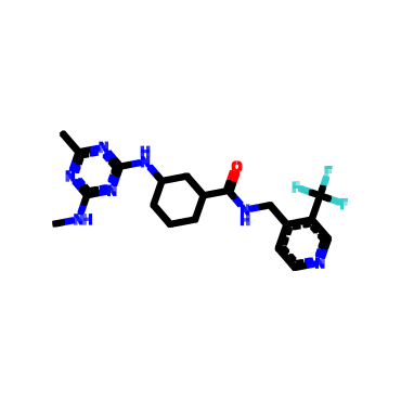 CNc1nc(C)nc(NC2CCCC(C(=O)NCc3ccncc3C(F)(F)F)C2)n1